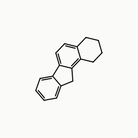 c1ccc2c(c1)Cc1c-2ccc2c1CCCC2